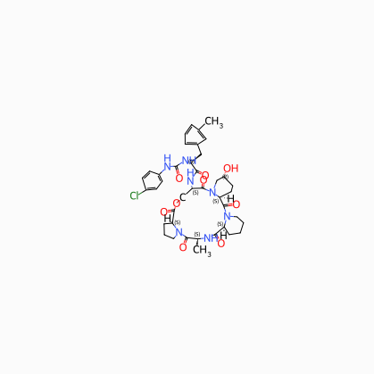 Cc1cccc(C[C@H](NC(=O)Nc2ccc(Cl)cc2)C(=O)N[C@H]2COC(=O)[C@@H]3CCCN3C(=O)[C@H](C)NC(=O)[C@@H]3CCCCN3C(=O)[C@@H]3CC[C@@H](O)CN3C2=O)c1